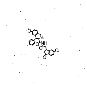 COc1ccc2c(c1)C(c1ccccc1)=C(C(=O)NC(=O)CC1CC(=O)c3ccc(OC)cc31)N(C)C2